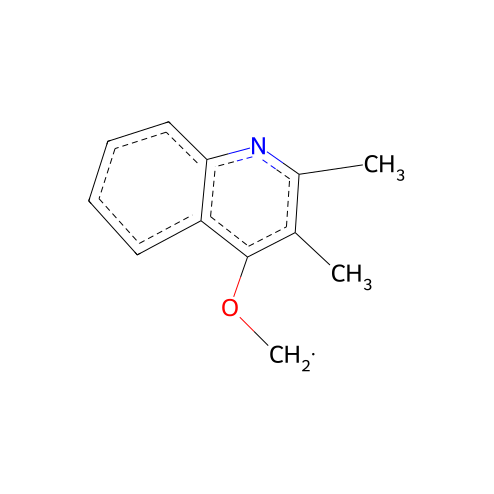 [CH2]Oc1c(C)c(C)nc2ccccc12